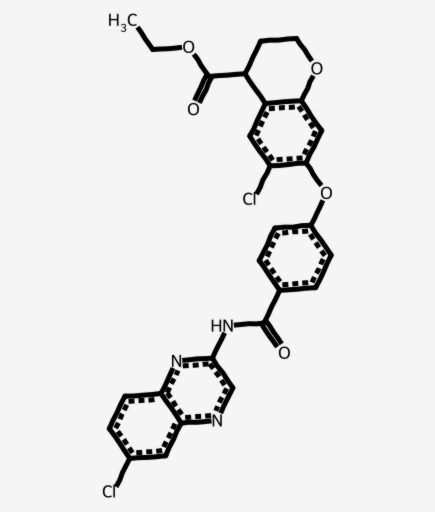 CCOC(=O)C1CCOc2cc(Oc3ccc(C(=O)Nc4cnc5cc(Cl)ccc5n4)cc3)c(Cl)cc21